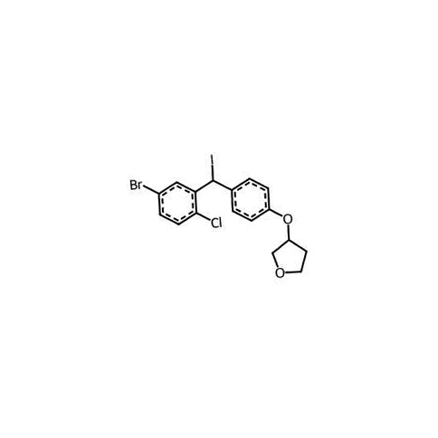 Clc1ccc(Br)cc1C(I)c1ccc(OC2CCOC2)cc1